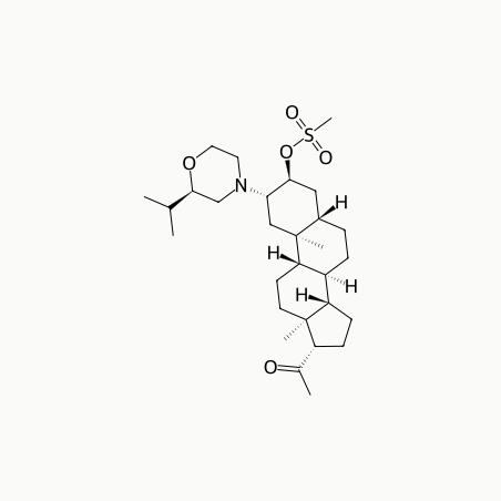 CC(=O)[C@H]1CC[C@H]2[C@@H]3CC[C@H]4C[C@H](OS(C)(=O)=O)[C@@H](N5CCO[C@H](C(C)C)C5)C[C@]4(C)[C@H]3CC[C@]12C